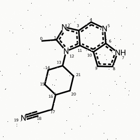 Cc1nc2cnc3[nH]ccc3c2n1C1CCC(CC#N)CC1